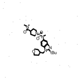 CN(C)C(=O)C1CCN(S(=O)(=O)N(C)c2ccc3c(c2)nc(C(C)(C)C)n3CC2CCOCC2)CC1